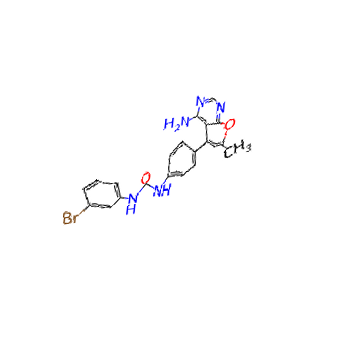 Cc1oc2ncnc(N)c2c1-c1ccc(NC(=O)Nc2cccc(Br)c2)cc1